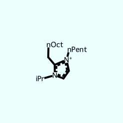 CCCCCCCCCc1n(C(C)C)cc[n+]1CCCCC